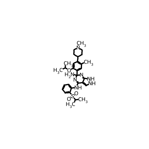 Cc1cc(C2(N)N=C3NNC=C3C(Nc3ccccc3S(=O)(=O)C(C)C)=N2)c(OC(C)C)cc1C1CCN(C)CC1